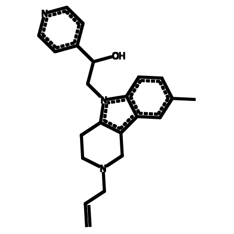 C=CCN1CCc2c(c3cc(C)ccc3n2CC(O)c2ccncc2)C1